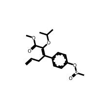 C=CC/C(=C(/OC(C)C)C(=O)OC)c1ccc(OS(C)=O)cc1